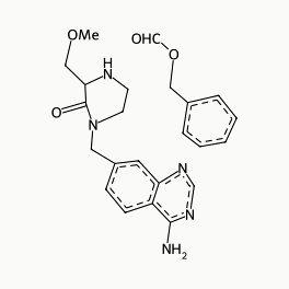 COCC1NCCN(Cc2ccc3c(N)ncnc3c2)C1=O.O=COCc1ccccc1